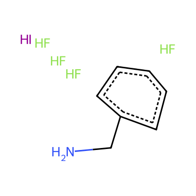 F.F.F.F.I.NCc1ccccc1